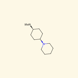 CN[C@H]1CC[C@@H](N2CCCCC2)CC1